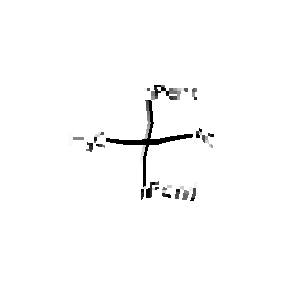 CCCCCC(C)(CCCCC)C(C)=O